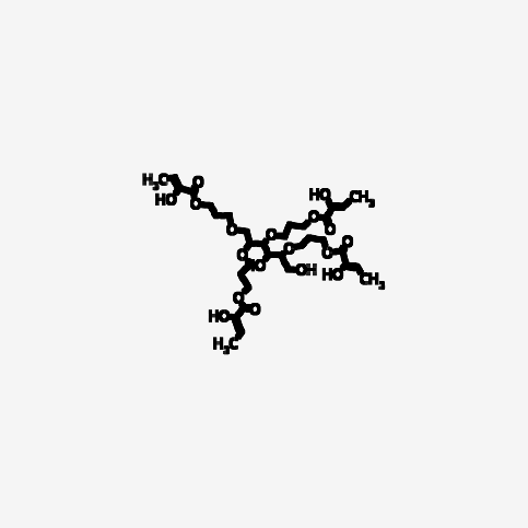 CC=C(O)C(=O)OCCCOCC(OCCCOC(=O)C(O)=CC)C(OCCCOC(=O)C(O)=CC)C(O)C(CO)OCCCOC(=O)C(O)=CC